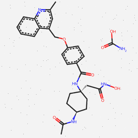 CC(=O)N[C@H]1CC[C@@](CC(=O)NO)(NC(=O)c2ccc(OCc3cc(C)nc4ccccc34)cc2)CC1.NC(=O)O